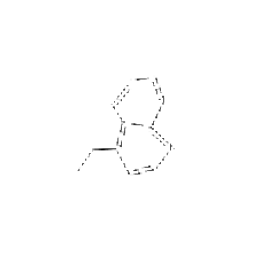 CCc1ccnc2ccncc12